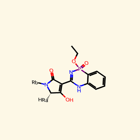 CCOP1(=O)N=C(C2=C(O)[C@H]([RaH])[N]([Rb])C2=O)Nc2ccccc21